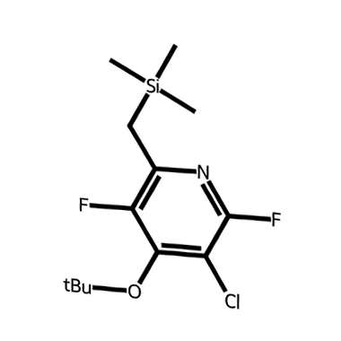 CC(C)(C)Oc1c(F)c(C[Si](C)(C)C)nc(F)c1Cl